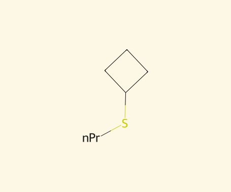 [CH2]CCSC1CCC1